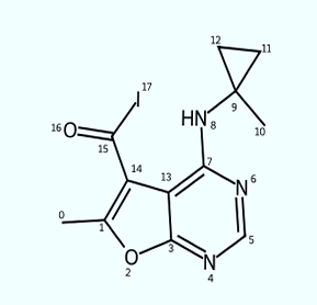 Cc1oc2ncnc(NC3(C)CC3)c2c1C(=O)I